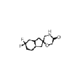 O=C1COC2(CN1)CC1CCC(F)(F)CC1C2